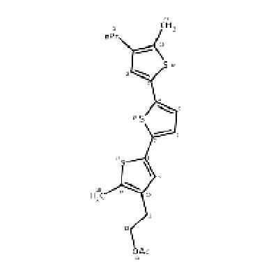 CCCc1cc(-c2ccc(-c3cc(CCOC(C)=O)c(C)s3)s2)sc1C